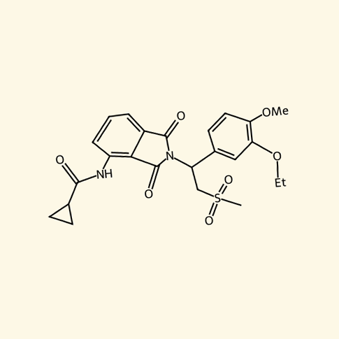 CCOc1cc(C(CS(C)(=O)=O)N2C(=O)c3cccc(NC(=O)C4CC4)c3C2=O)ccc1OC